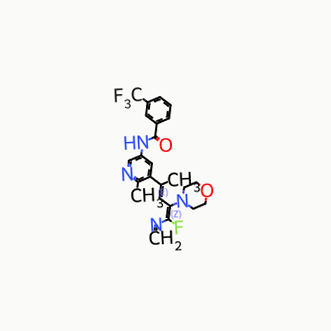 C=N/C(F)=C(\C=C(/C)c1cc(NC(=O)c2cccc(C(F)(F)F)c2)cnc1C)N1CCOCC1